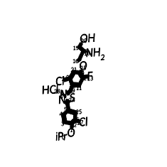 CC(C)Oc1ccc(-c2nnc(-c3cc(F)c(OC[C@@H](N)CO)cc3Cl)s2)cc1Cl.Cl